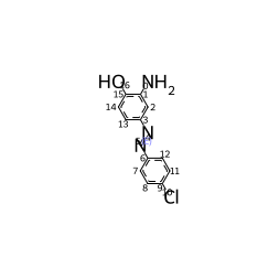 Nc1cc(/N=N/c2ccc(Cl)cc2)ccc1O